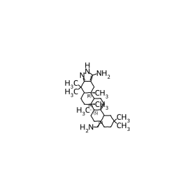 CC1(C)CC[C@]2(CN)CC[C@]3(C)C(=CCC4[C@@]5(C)Cc6c(n[nH]c6N)C(C)(C)C5CC[C@]43C)C2C1